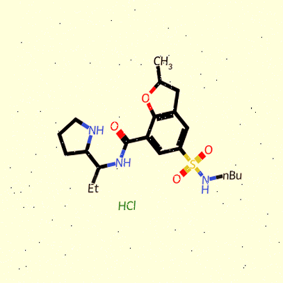 CCCCNS(=O)(=O)c1cc2c(c(C(=O)NC(CC)C3CCCN3)c1)OC(C)C2.Cl